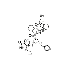 CC(C)CCS(=O)(=O)CC1(NC(=O)N[C@H](C(=O)N2CC(OCc3ccccc3)C[C@H]2C(=O)NC(CC2CCC2)C(=O)C(N)=O)C2CCCCC2)CCCCC1